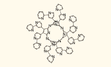 c1ccc(-c2cc(C3=C(c4ccnc(-c5ccccn5)c4)c4nc3nc3[nH]c(nc5nc(nc6[nH]c(n4)c(-c4ccnc(-c7ccccn7)c4)c6-c4ccnc(-c6ccccn6)c4)C(c4ccnc(-c6ccccn6)c4)=C5c4ccnc(-c5ccccn5)c4)c(-c4ccnc(-c5ccccn5)c4)c3-c3ccnc(-c4ccccn4)c3)ccn2)nc1